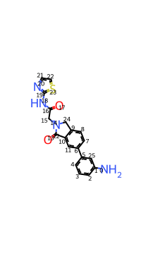 Nc1cccc(-c2ccc3c(c2)C(=O)N(CC(=O)Nc2nccs2)C3)c1